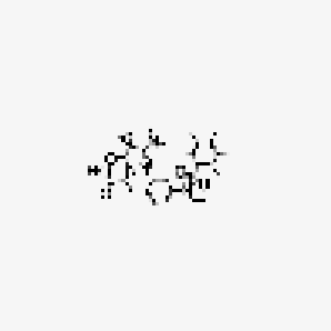 CCN(c1ccc(C[C@H](NC(=O)C2(C(=O)N(C)C)CC2)C(=O)O)cc1)S(=O)(=O)c1c(C)c(C)c(C)c(C)c1C